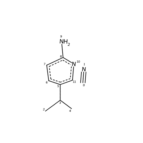 C#N.CC(C)c1ccc(N)nc1